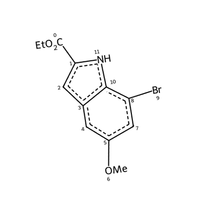 CCOC(=O)c1cc2cc(OC)cc(Br)c2[nH]1